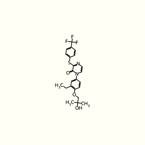 CCc1cc(-n2ccnc(Sc3ccc(C(F)(F)F)cc3)c2=O)ccc1OCC(C)(C)O